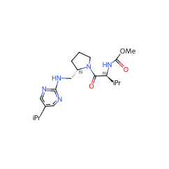 COC(=O)N[C@H](C(=O)N1CCC[C@H]1CNc1ncc(C(C)C)cn1)C(C)C